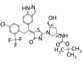 CC(C)(C)OC(=O)N[C@@H]1C[C@H](CO)N(C2=NC(=O)C(=C(Cc3ccc(Cl)cc3C(F)(F)F)c3ccc4[nH]ncc4c3)S2)C1